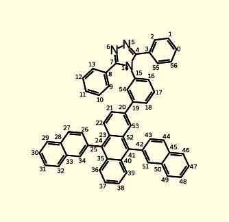 c1ccc(-c2nnc(-c3ccccc3)n2-c2cccc(-c3ccc4c(-c5ccc6ccccc6c5)c5ccccc5c(-c5ccc6ccccc6c5)c4c3)c2)cc1